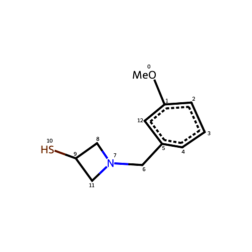 COc1cccc(CN2CC(S)C2)c1